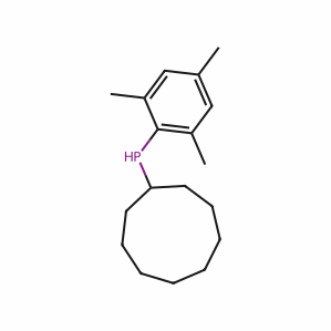 Cc1cc(C)c(PC2CCCCCCCC2)c(C)c1